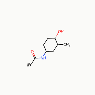 CC(C)C(=O)N[C@H]1CC[C@H](O)[C@@H](C)C1